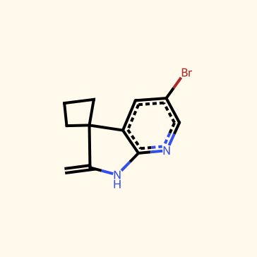 C=C1Nc2ncc(Br)cc2C12CCC2